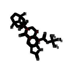 CC(C)(C)OC(=O)NC1CCN(S(=O)(=O)N2[C@@H]3CC[C@H]2C[C@@H](NC(=O)c2cc4c(cc2Cl)NC(=O)C4)C3)CC1